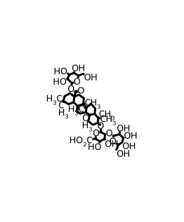 CC1(C)CCC2(C(=O)OC3OC(CO)C(O)C(O)C3O)CCC3(C)C(=CCC4C5(C)CCC(OC6OC(C(=O)O)C(O)C(O)C6OC6OC(CO)C(O)C(O)C6O)C(C)(C)C5CCC43C)C2C1